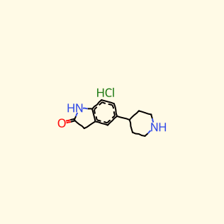 Cl.O=C1Cc2cc(C3CCNCC3)ccc2N1